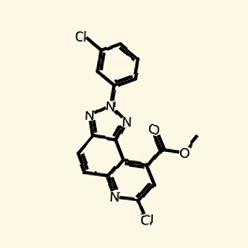 COC(=O)c1cc(Cl)nc2ccc3nn(-c4cccc(Cl)c4)nc3c12